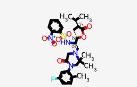 Cc1ccc(F)cc1N1CC(C)(C)N(C[C@H](NS(=O)(=O)c2ccccc2[N+](=O)[O-])[C@@H]2C[C@@H](C(C)C)C(=O)O2)CC1=O